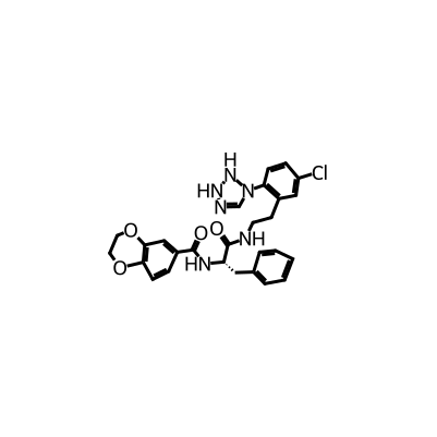 O=C(N[C@@H](Cc1ccccc1)C(=O)NCCc1cc(Cl)ccc1N1C=NNN1)c1ccc2c(c1)OCCO2